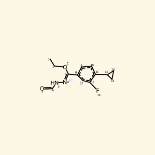 CCO/C(=N\NC=O)c1ccc(C2CC2)c(F)c1